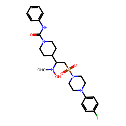 O=CN(O)C(CS(=O)(=O)N1CCN(c2ccc(F)cc2)CC1)C1CCN(C(=O)Nc2ccccc2)CC1